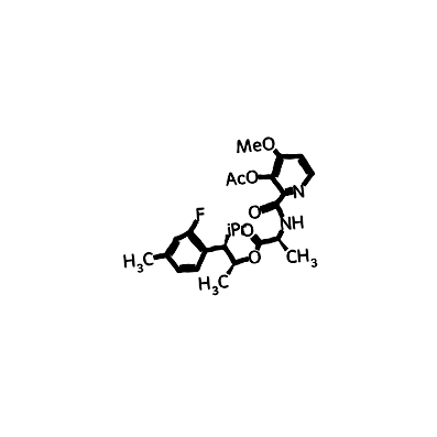 COc1ccnc(C(=O)N[C@@H](C)C(=O)O[C@@H](C)[C@@H](c2ccc(C)cc2F)C(C)C)c1OC(C)=O